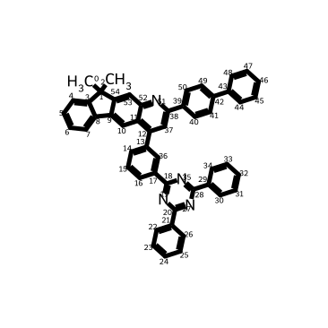 CC1(C)c2ccccc2-c2cc3c(-c4cccc(-c5nc(-c6ccccc6)nc(-c6ccccc6)n5)c4)cc(-c4ccc(-c5ccccc5)cc4)nc3cc21